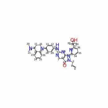 C=CCn1c(=O)c2cnc(Nc3ccc(N4CCC(N(C)C)c5ccccc54)cc3)nc2n1-c1cccc(C(C)(C)O)n1